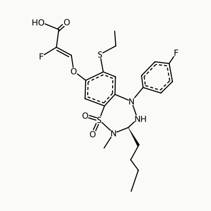 CCCC[C@@H]1NN(c2ccc(F)cc2)c2cc(SCC)c(O/C=C(\F)C(=O)O)cc2S(=O)(=O)N1C